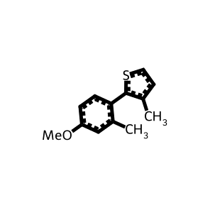 COc1ccc(-c2sccc2C)c(C)c1